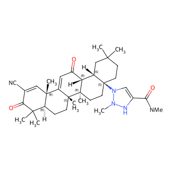 CNC(=O)C1=CN([C@]23CCC(C)(C)C[C@H]2[C@H]2C(=O)C=C4[C@@]5(C)C=C(C#N)C(=O)C(C)(C)[C@@H]5CC[C@@]4(C)[C@]2(C)CC3)N(C)N1